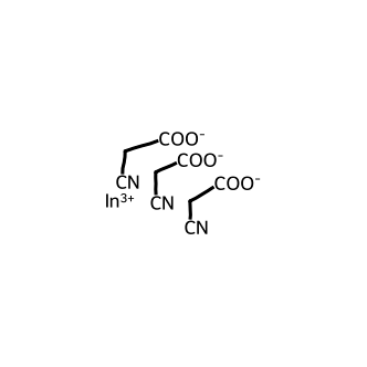 N#CCC(=O)[O-].N#CCC(=O)[O-].N#CCC(=O)[O-].[In+3]